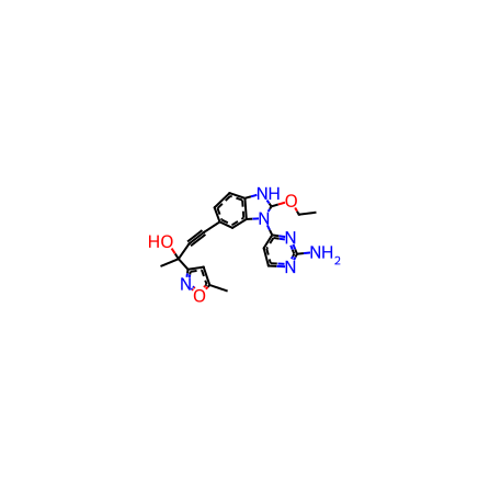 CCOC1Nc2ccc(C#CC(C)(O)c3cc(C)on3)cc2N1c1ccnc(N)n1